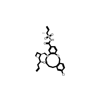 C=CC[C@H](O)[C@@H]1CC[C@H]1CN1CCCCc2cc(Cl)ccc2COc2ccc(C(=O)NS(=O)(=O)[C@H](C)C=C)cc21